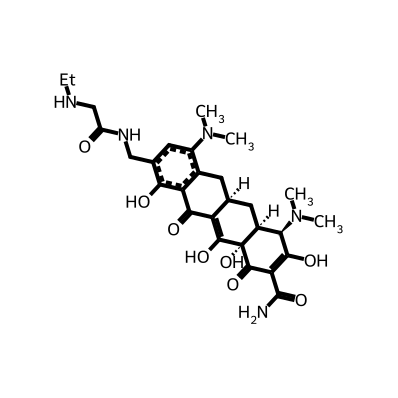 CCNCC(=O)NCc1cc(N(C)C)c2c(c1O)C(=O)C1=C(O)[C@]3(O)C(=O)C(C(N)=O)=C(O)[C@H](N(C)C)[C@@H]3C[C@@H]1C2